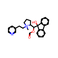 C[N+]1(CCc2cccnc2)CCCC1C(OC=O)C1(O)c2ccccc2-c2ccccc21